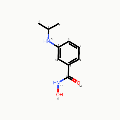 CC(C)Nc1cccc(C(=O)NO)c1